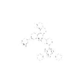 c1ccc(-c2nc(-c3ccccc3)nc(-c3cccc(-c4nc5cc(-c6cccnc6)ccc5c5c4ccc4ccccc45)c3)n2)cc1